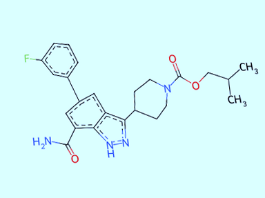 CC(C)COC(=O)N1CCC(c2n[nH]c3c(C(N)=O)cc(-c4cccc(F)c4)cc23)CC1